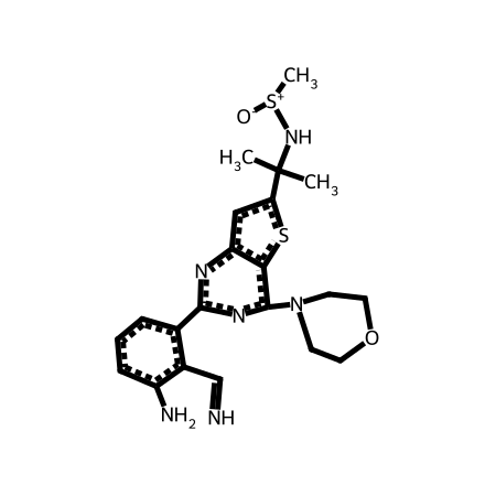 C[S+]([O-])NC(C)(C)c1cc2nc(-c3cccc(N)c3C=N)nc(N3CCOCC3)c2s1